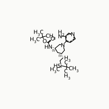 C[SiH](CC[C@@H]1C[C@H](NC(=O)OC(C)(C)C)CN(c2ccncc2N)C1)C(C)(C)C